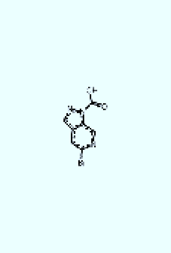 O=C(O)n1ncc2cc(Br)ncc21